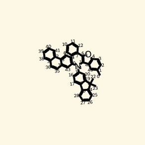 Cc1ccc2oc(-c3ccccc3)c(N(c3ccc4c(c3)C(C)(C)c3ccccc3-4)c3ccc4c(ccc5ccccc54)c3)c2c1